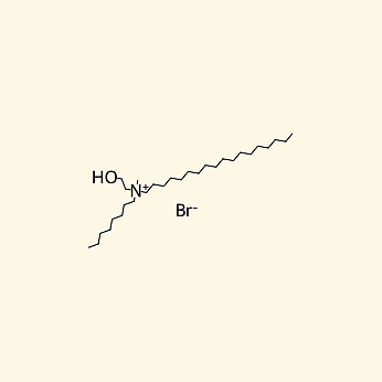 CCCCCCCCCCCCCCCCCC[N+](C)(CCO)CCCCCCCC.[Br-]